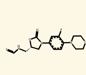 O=C1O[C@@H](CNC=S)CN1c1ccc(N2CCOCC2)c(F)c1